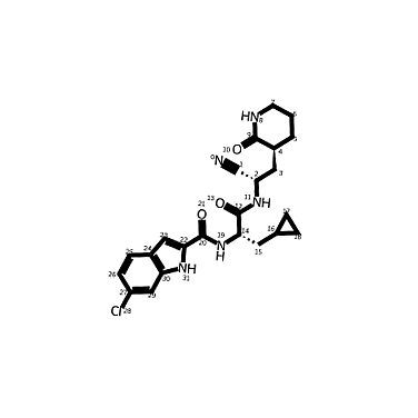 N#C[C@H](C[C@@H]1CCCNC1=O)NC(=O)[C@H](CC1CC1)NC(=O)c1cc2ccc(Cl)cc2[nH]1